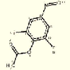 CC(=O)Oc1c(F)cc(N=O)cc1F